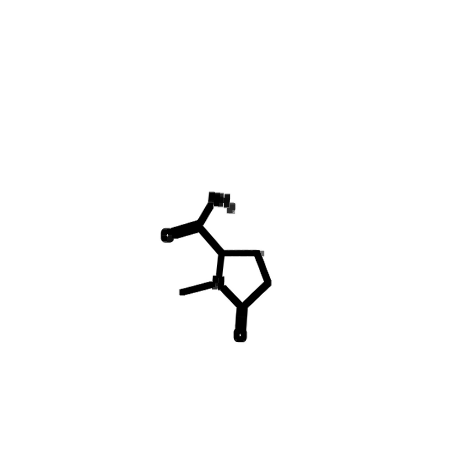 CN1C(=O)C[CH]C1C(N)=O